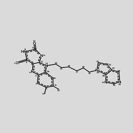 Cc1cc2nc3c(=O)[nH]c(=O)nc-3n(CCCCCCn3cnc4cncnc43)c2cc1C